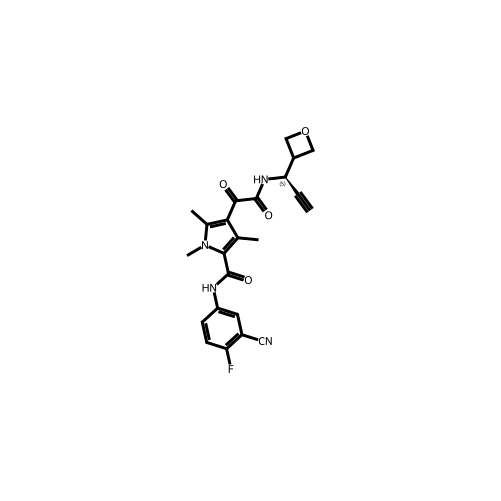 C#C[C@@H](NC(=O)C(=O)c1c(C)c(C(=O)Nc2ccc(F)c(C#N)c2)n(C)c1C)C1COC1